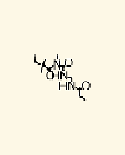 CCC(=O)NCNC(=O)N(C)C(=O)C(C)(C)CC